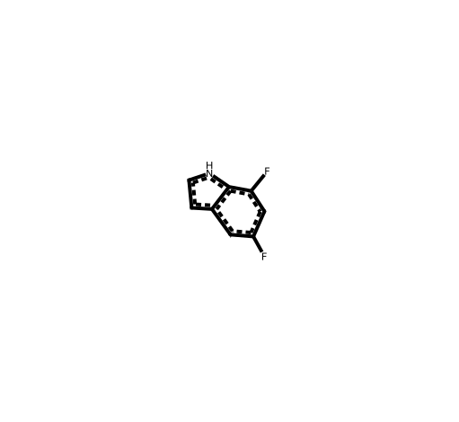 Fc1[c]c2cc[nH]c2c(F)c1